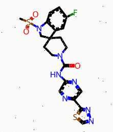 CS(=O)(=O)N1CC2(CCN(C(=O)Nc3cnc(-c4nncs4)cn3)CC2)c2cc(F)ccc21